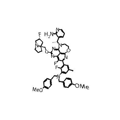 COc1ccc(CN(Cc2ccc(OC)cc2)c2cc(C)cc(-c3nc4c5c(nc(OC[C@@]67CCCN6C[C@H](F)C7)nc5c3F)N([C@H](C)c3cccnc3N)CCO4)c2F)cc1